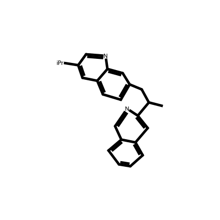 CC(C)c1cnc2cc(CC(C)c3cc4ccccc4cn3)ccc2c1